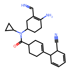 N#CC1C=CC=CC1C1=CCC(C(=O)N(C2CC2)C2CCC(N)=C(C=N)C2)CC1